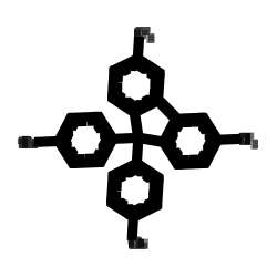 CC(C)(C)c1ccc(C2(c3ccc(C(C)(C)C)cc3)c3ccc(C(F)(F)F)cc3-c3cc(C(F)(F)F)ccc32)cc1